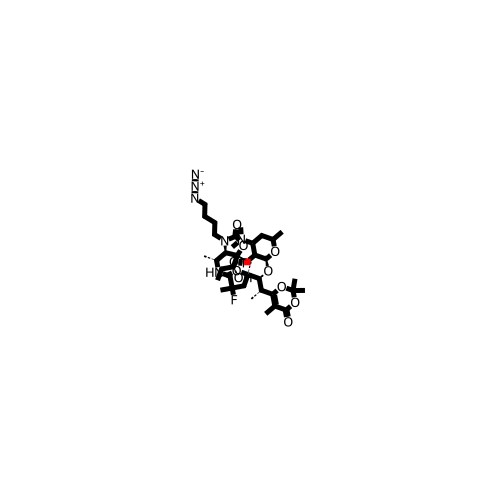 CC[C@@H](O)[C@@]1(C)OC(=O)N(CCCCN=[N+]=[N-])[C@@H]1[C@@H](C)NCC(C)(F)C[C@@](C)(OC)[C@H](O[C@@H]1OC(C)CC(N(C)C)C1P=O)[C@@H](C)C1=C(C)C(=O)OC(C)(C)O1